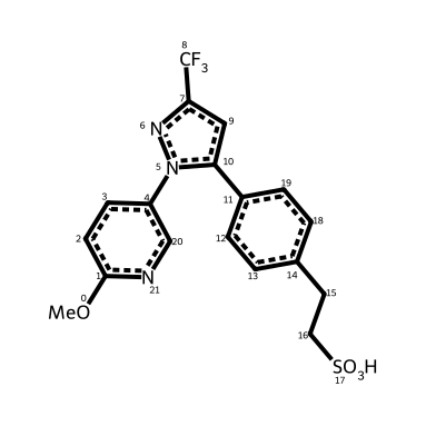 COc1ccc(-n2nc(C(F)(F)F)cc2-c2ccc(CCS(=O)(=O)O)cc2)cn1